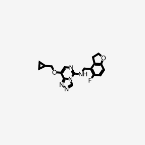 Fc1ccc2c(c1CNc1ncc(OCC3CC3)c3nncn13)CCO2